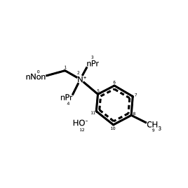 CCCCCCCCCC[N+](CCC)(CCC)c1ccc(C)cc1.[OH-]